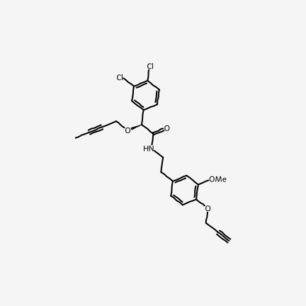 C#CCOc1ccc(CCNC(=O)[C@@H](OCC#CC)c2ccc(Cl)c(Cl)c2)cc1OC